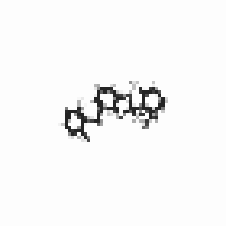 O=C(O)C1(c2c(F)cccc2F)N=c2cccc(Cc3c(F)cccc3F)c2=N1